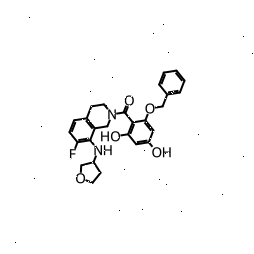 O=C(c1c(O)cc(O)cc1OCc1ccccc1)N1CCc2ccc(F)c(NC3CCOC3)c2C1